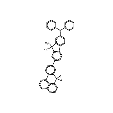 CC1(C)c2cc(-c3ccc4c(c3)C3(CC3)c3cccc5cccc-4c35)ccc2-c2ccc(N(c3ccccc3)c3ccccc3)cc21